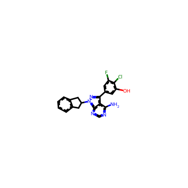 Nc1ncnc2c1c(-c1cc(O)c(Cl)c(F)c1)nn2C1Cc2ccccc2C1